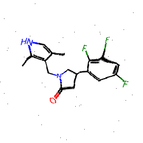 Cc1c[nH]c(C)c1CN1CC(c2cc(F)cc(F)c2F)CC1=O